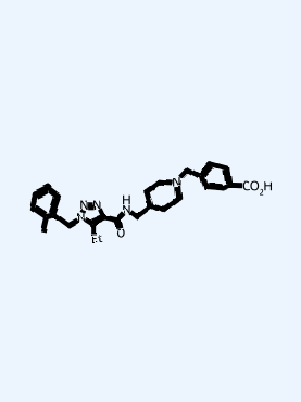 CCc1c(C(=O)NCC2CCN(Cc3ccc(C(=O)O)cc3)CC2)nnn1Cc1ccccc1C